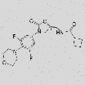 O=C(NC[C@H]1CN(c2cc(F)c(N3CCOCC3)c(F)c2)C(=O)O1)C1CCC1